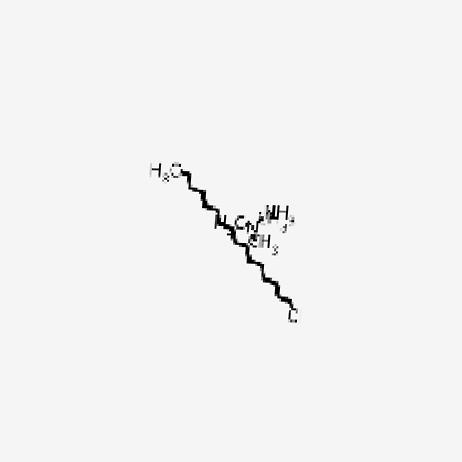 CCCCCCCCCCCCCCCCCl.CN(C)C.N